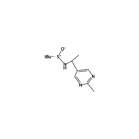 Cc1ncc(C(C)N[S@@+]([O-])C(C)(C)C)cn1